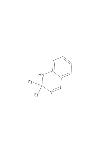 CCC1(CC)N=Cc2ccccc2N1